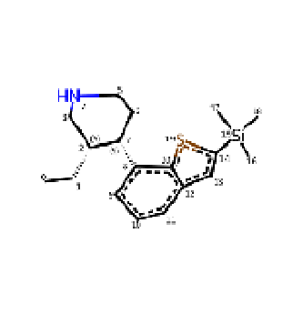 CC[C@@H]1CNCC[C@@H]1c1cccc2cc([Si](C)(C)C)sc12